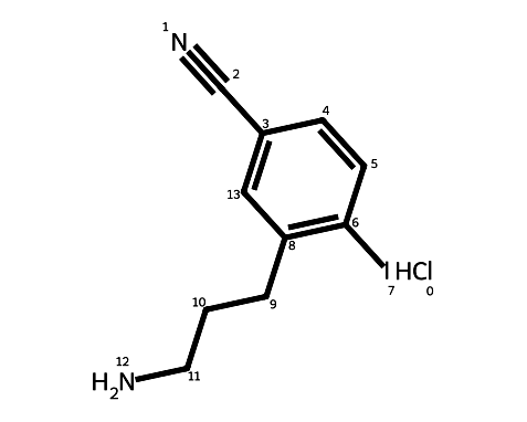 Cl.N#Cc1ccc(I)c(CCCN)c1